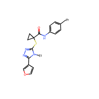 CCn1c(SC2(C(=O)Nc3ccc(C(C)C)cc3)CC2)nnc1-c1ccoc1